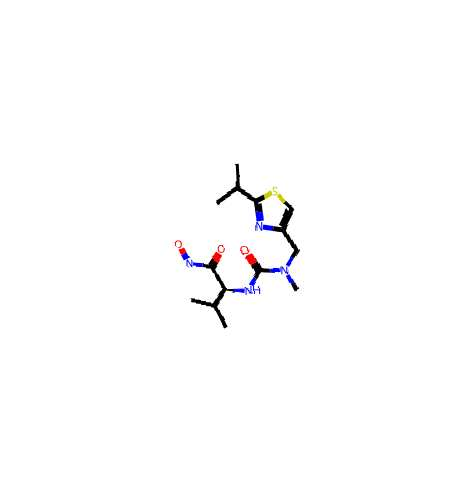 CC(C)c1nc(CN(C)C(=O)N[C@H](C(=O)N=O)C(C)C)cs1